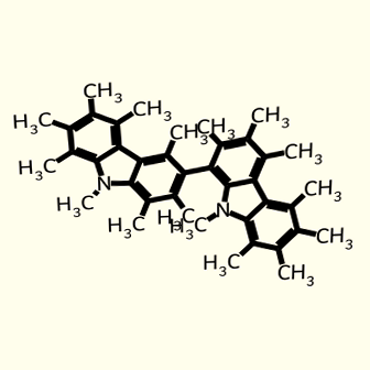 Cc1c(C)c(C)c2c(c1C)c1c(C)c(-c3c(C)c(C)c(C)c4c5c(C)c(C)c(C)c(C)c5n(C)c34)c(C)c(C)c1n2C